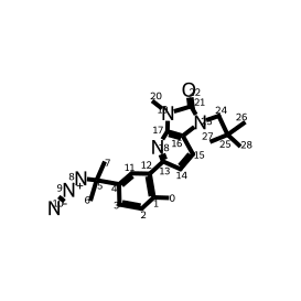 Cc1ccc(C(C)(C)N=[N+]=[N-])cc1-c1ccc2c(n1)n(C)c(=O)n2CC(C)(C)C